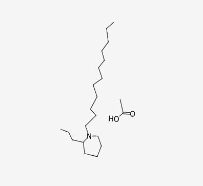 CC(=O)O.CCCCCCCCCCCCN1CCCCC1CCC